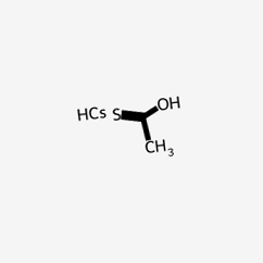 CC(O)=S.[CsH]